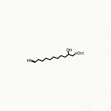 CCCCCCCCCC(O)CCCCCCCCC=N